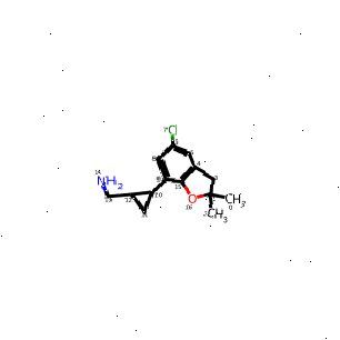 CC1(C)Cc2cc(Cl)cc(C3CC3CN)c2O1